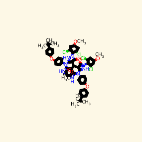 CNC(=O)N(c1ccc(Oc2ccc(C(C)(C)C)cc2)cc1)c1[nH]n(-c2c(Cl)cc(OC)cc2Cl)c(=O)c1C(c1ccccc1)c1c(N(C(=O)NC)c2ccc(Oc3ccc(C(C)(C)C)cc3)cc2)[nH]n(-c2c(Cl)cc(OC)cc2Cl)c1=O